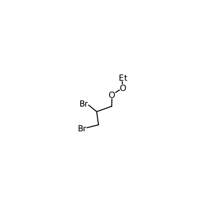 CCOOCC(Br)CBr